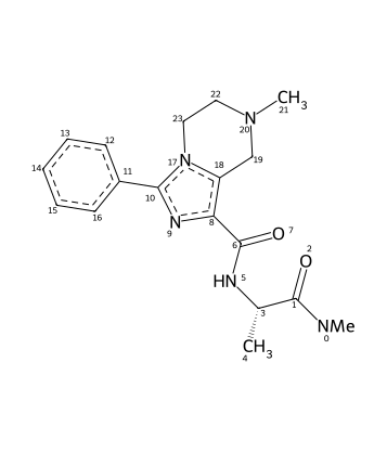 CNC(=O)[C@H](C)NC(=O)c1nc(-c2ccccc2)n2c1CN(C)CC2